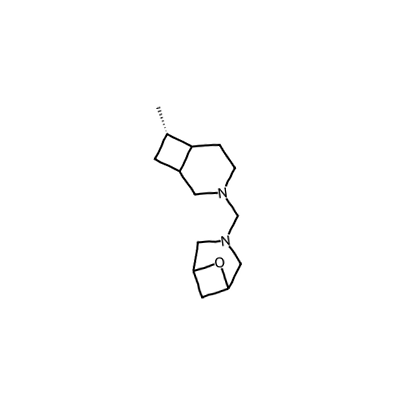 C[C@H]1CC2CN(CN3CC4CC(C3)O4)CCC21